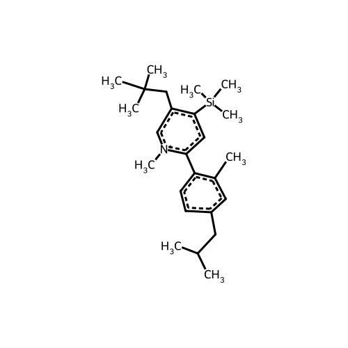 Cc1cc(CC(C)C)ccc1-c1cc([Si](C)(C)C)c(CC(C)(C)C)c[n+]1C